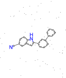 N#Cc1ccc2[nH]c(-c3cccc(-c4ccccc4)c3)cc2c1